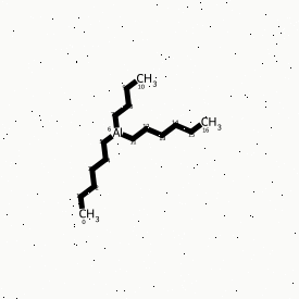 CCCCC[CH2][Al]([CH2]CCC)[CH2]CCCCC